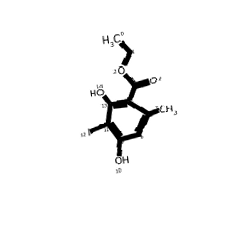 CCOC(=O)c1c(C)cc(O)c(I)c1O